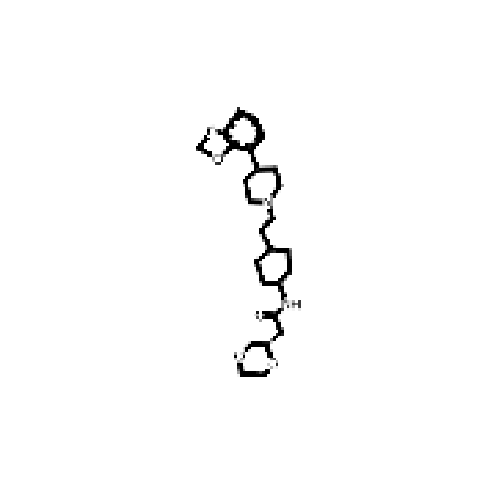 O=C(C[C@@H]1COCCO1)NC1CCC(CCN2CCC(c3cccc4c3OCO4)CC2)CC1